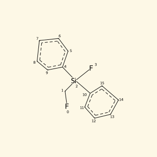 FC[Si](F)(c1ccccc1)c1ccccc1